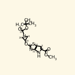 COC(=O)c1cc2sc(OC3CN(C(=O)OC(C)(C)C)C3)nc2[nH]1